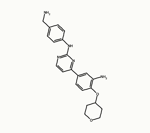 NCc1ccc(Nc2nccc(-c3ccc(OC4CCOCC4)c(N)c3)n2)cc1